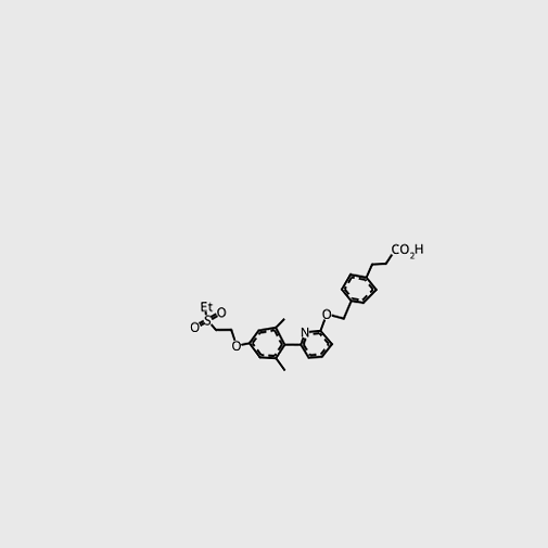 CCS(=O)(=O)CCOc1cc(C)c(-c2cccc(OCc3ccc(CCC(=O)O)cc3)n2)c(C)c1